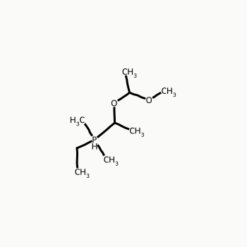 CC[PH](C)(C)C(C)OC(C)OC